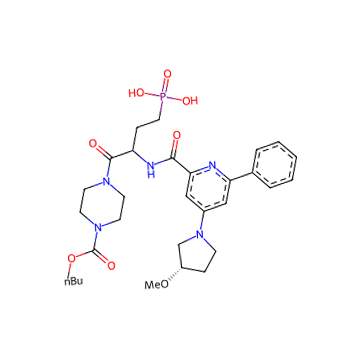 CCCCOC(=O)N1CCN(C(=O)C(CCP(=O)(O)O)NC(=O)c2cc(N3CC[C@H](OC)C3)cc(-c3ccccc3)n2)CC1